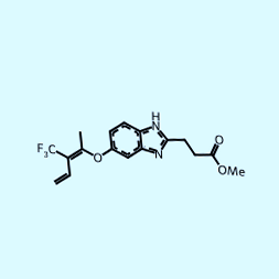 C=C/C(=C(/C)Oc1ccc2[nH]c(CCC(=O)OC)nc2c1)C(F)(F)F